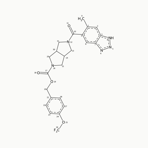 Cc1cc2[nH]nnc2cc1C(=O)N1CC2CN(C(=O)OCc3ccc(OC(F)(F)F)cc3)CC2C1